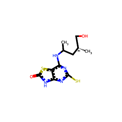 CC(C[C@@H](C)CO)Nc1nc(S)nc2[nH]c(=O)sc12